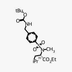 CCOC(=O)[C@H](CC(C)C)N(C)S(=O)(=O)c1ccc(CNC(=O)OC(C)(C)C)cc1